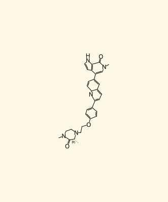 C[C@@H]1C(=O)N(C)CCN1CCOc1ccc(-c2ccc3cc(-c4cn(C)c(=O)c5[nH]ccc45)ccc3n2)cc1